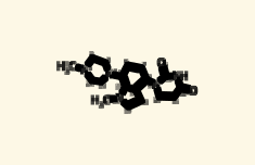 CN1CCN(c2ccc(-n3ccc(=O)[nH]c3=O)c3ccn(C)c23)CC1